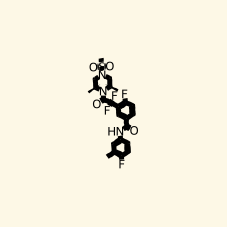 Cc1cc(NC(=O)c2ccc(F)c(C(F)(F)C(=O)N3[C@H](C)CN(S(C)(=O)=O)C[C@@H]3C)c2)ccc1F